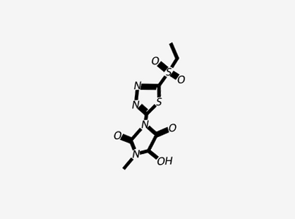 CCS(=O)(=O)c1nnc(N2C(=O)C(O)N(C)C2=O)s1